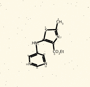 CCOC(=O)c1nc(C)sc1Nc1cncnc1